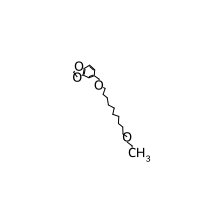 CCCOCCCCCCCCCCOCc1ccc2c(c1)OCO2